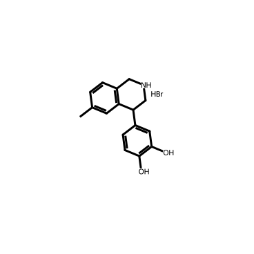 Br.Cc1ccc2c(c1)C(c1ccc(O)c(O)c1)CNC2